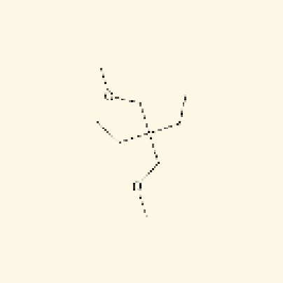 CCC(CC)(COC)COC